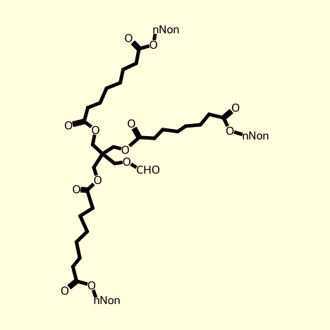 CCCCCCCCCOC(=O)CCCCCCC(=O)OCC(COC=O)(COC(=O)CCCCCCC(=O)OCCCCCCCCC)COC(=O)CCCCCCC(=O)OCCCCCCCCC